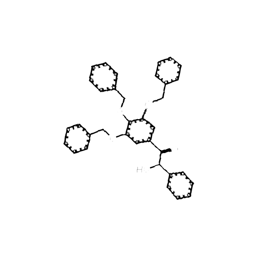 O=C(c1cc(OCc2ccccc2)c(OCc2ccccc2)c(OCc2ccccc2)c1)C(O)c1ccccc1